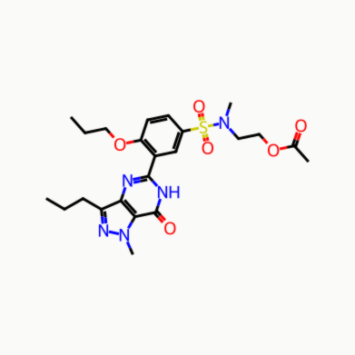 CCCOc1ccc(S(=O)(=O)N(C)CCOC(C)=O)cc1-c1nc2c(CCC)nn(C)c2c(=O)[nH]1